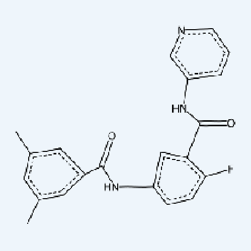 Cc1cc(C)cc(C(=O)Nc2ccc(F)c(C(=O)Nc3cccnc3)c2)c1